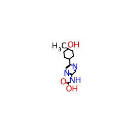 CC1(O)CCC(c2cnc(NC(=O)O)cn2)CC1